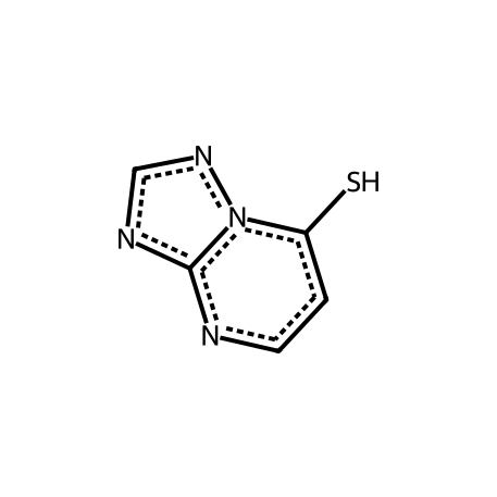 Sc1ccnc2ncnn12